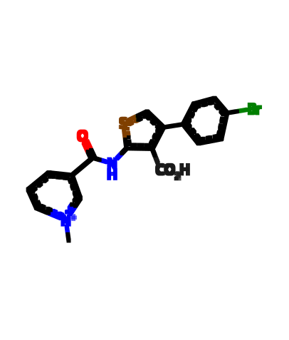 C[n+]1cccc(C(=O)Nc2scc(-c3ccc(Br)cc3)c2C(=O)O)c1